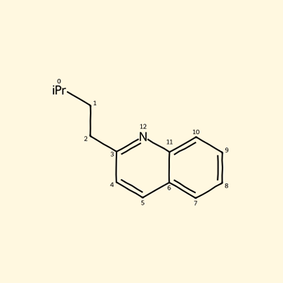 CC(C)CCc1ccc2ccccc2n1